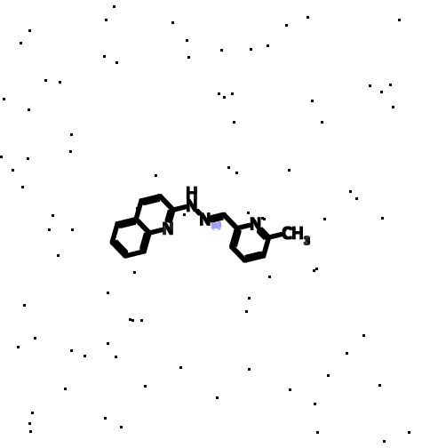 Cc1cccc(/C=N/Nc2ccc3ccccc3n2)n1